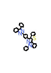 c1ccc(-c2nc(-c3ccc(-c4nc5c(c6ccccc6n5-c5ccccc5)c5sc6ccccc6c45)cc3)nc3ccccc23)cc1